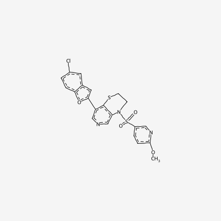 COc1ccc(S(=O)(=O)N2CCSc3c(-c4cc5cc(Cl)ccc5o4)cncc32)cn1